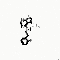 Cc1csc2ncnc(NCCc3ccccc3F)c12